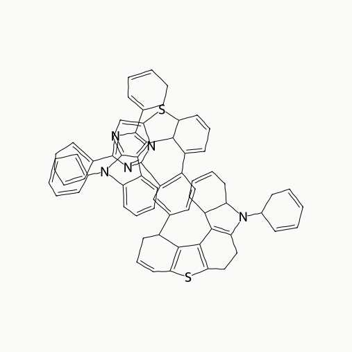 C1=CCCC(c2nc(C3=CCCC=C3)nc(-c3cc(C4CC=Cc5sc6c(c54)C4=C(CC6)N(C5C=CC=CC5)C5CC=CCC45)ccc3C3=CC=CC4Sc5ccc6c(c5C34)c3ccccc3n6-c3ccccc3)n2)=C1